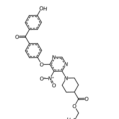 CCOC(=O)C1CCN(c2ncnc(Oc3ccc(C(=O)c4ccc(O)cc4)cc3)c2[N+](=O)[O-])CC1